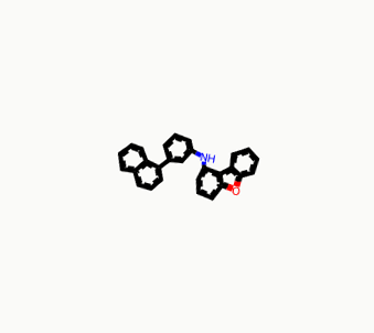 c1cc(Nc2cccc3oc4ccccc4c23)cc(-c2cccc3ccccc23)c1